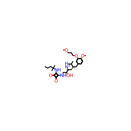 CCCC(C)(C)Nc1c(NC[C@@H](O)[C@@H](N)C[C@H](Cc2ccc(OC)c(OCCCOC)c2)C(C)C)c(=O)c1=O